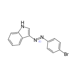 Brc1ccc(/N=N/c2c[nH]c3ccccc23)cc1